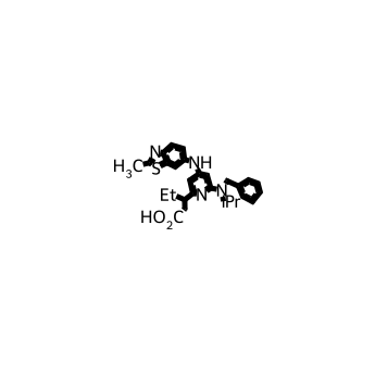 CCC(CC(=O)O)c1cc(Nc2ccc3nc(C)sc3c2)cc(N(Cc2ccccc2)C(C)C)n1